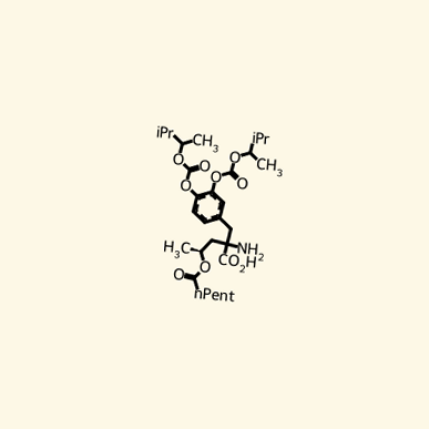 CCCCCC(=O)O[C@@H](C)CC(N)(Cc1ccc(OC(=O)OC(C)C(C)C)c(OC(=O)OC(C)C(C)C)c1)C(=O)O